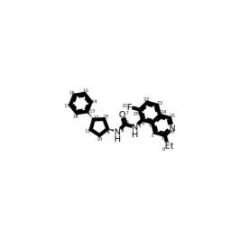 CCc1cc2c(NC(=O)N[C@@H]3CC[C@H](c4ccccc4)C3)c(F)ccc2cn1